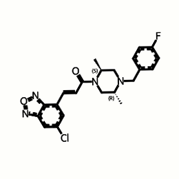 C[C@@H]1CN(C(=O)C=Cc2cc(Cl)cc3nonc23)[C@@H](C)CN1Cc1ccc(F)cc1